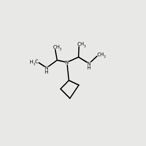 CNC(C)N(C1CCC1)C(C)NC